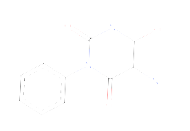 NC1C(=O)N(c2ccccc2)C(=O)NC1O